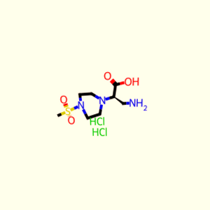 CS(=O)(=O)N1CCN([C@H](CN)C(=O)O)CC1.Cl.Cl